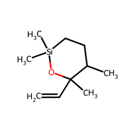 C=CC1(C)O[Si](C)(C)CCC1C